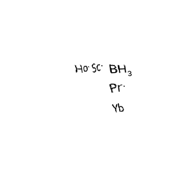 B.[Ho].[Pr].[Sc].[Yb]